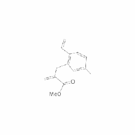 C=Cc1ccc(C)cc1CC(=C)C(=O)OC